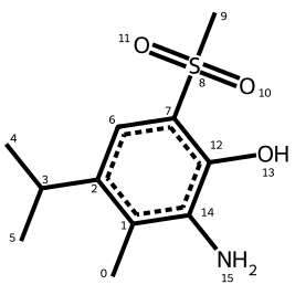 Cc1c(C(C)C)cc(S(C)(=O)=O)c(O)c1N